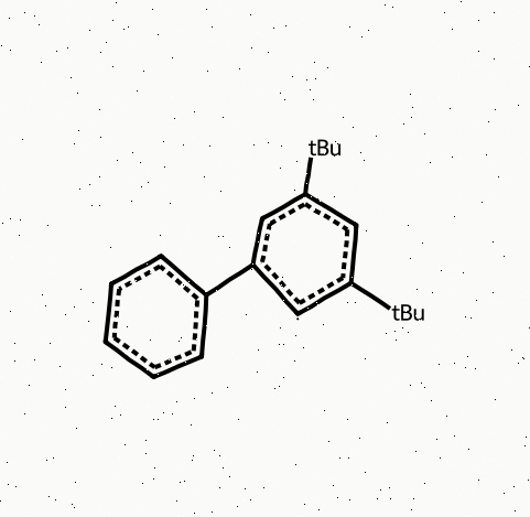 CC(C)(C)c1[c]c(-c2ccccc2)cc(C(C)(C)C)c1